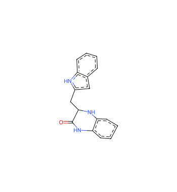 O=C1Nc2ccccc2NC1Cc1cc2ccccc2[nH]1